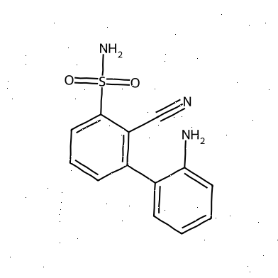 N#Cc1c(-c2ccccc2N)cccc1S(N)(=O)=O